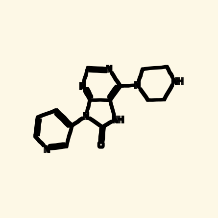 O=c1[nH]c2c(N3CCNCC3)ncnc2n1-c1cccnc1